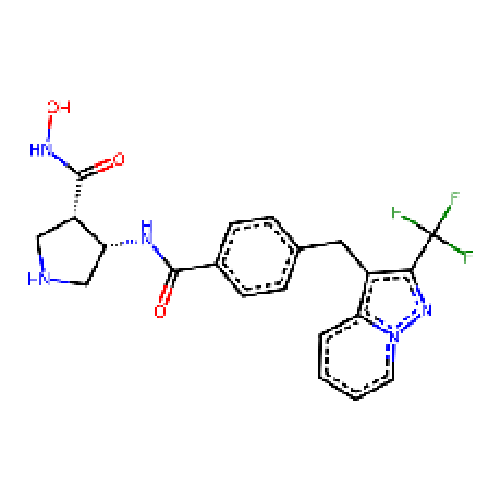 O=C(N[C@@H]1CNC[C@@H]1C(=O)NO)c1ccc(Cc2c(C(F)(F)F)nn3ccccc23)cc1